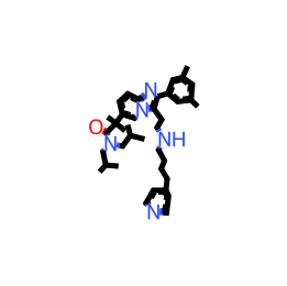 Cc1cc(C)cc(-c2nc3ccc(C(C)(C)C(=O)N(CC(C)C)CC(C)C)cn3c2CCNCCCCc2ccncc2)c1